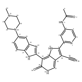 CC(=O)Nc1ccnc(-c2[nH]c3c(-c4nc5cc(N6CCN(C)CC6)ccc5[nH]4)c(=O)[nH]cc3c2C#N)c1